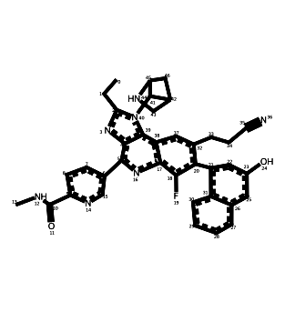 CCc1nc2c(-c3ccc(C(=O)NC)nc3)nc3c(F)c(-c4cc(O)cc5ccccc45)c(CCC#N)cc3c2n1C1C2CNC1C2